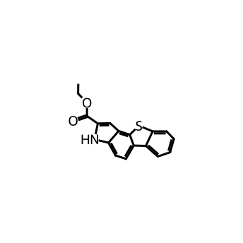 CCOC(=O)c1cc2c(ccc3c4ccccc4sc23)[nH]1